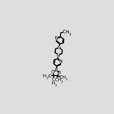 CCc1ccc(N2CCN(c3ccc(B4OC(C)(C)C(C)(C)O4)cn3)CC2)cn1